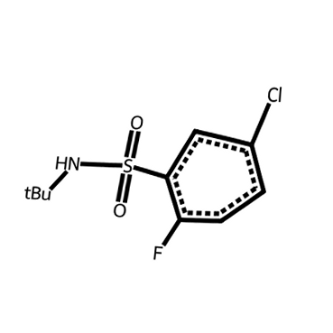 CC(C)(C)NS(=O)(=O)c1cc(Cl)ccc1F